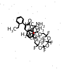 CCc1ccccc1-c1cc2ccc(OCC(F)(F)OC(F)(F)OC(F)(F)OC(F)(F)COC(=O)C(C)(CC(C)(C)N)C(C)(C)N)cc2oc1=O